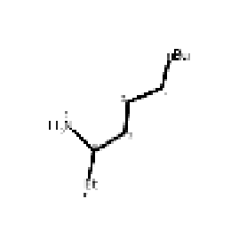 CCCCCCCC(N)CC